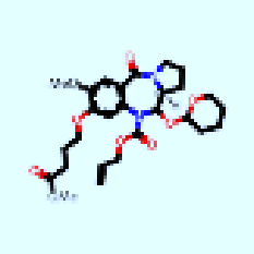 C=CCOC(=O)N1c2cc(OCCCC(=O)OC)c(OC)cc2C(=O)N2CCC[C@H]2C1OC1CCCCO1